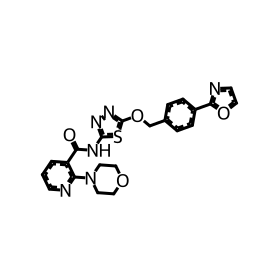 O=C(Nc1nnc(OCc2ccc(-c3ncco3)cc2)s1)c1cccnc1N1CCOCC1